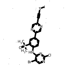 CP(C)(=O)c1cc(-c2cnc(C#CSI)cn2)ccc1Nc1nc(Cl)ncc1Br